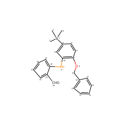 C[Si](C)(C)c1ccc(OCc2ccccc2)c(Pc2ccccc2C=O)c1